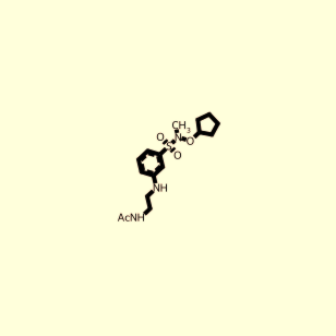 CC(=O)NCCNc1cccc(S(=O)(=O)N(C)OC2CCCC2)c1